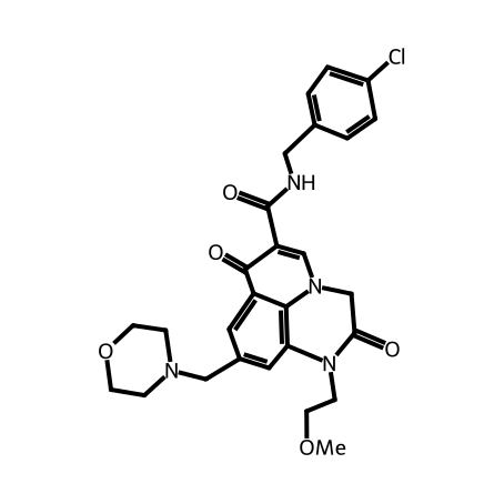 COCCN1C(=O)Cn2cc(C(=O)NCc3ccc(Cl)cc3)c(=O)c3cc(CN4CCOCC4)cc1c32